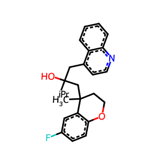 CC(C)C(O)(Cc1ccnc2ccccc12)CC1(C)CCOc2ccc(F)cc21